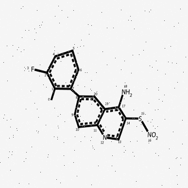 Cc1c(F)cccc1-c1ccc2ncc(S[N+](=O)[O-])c(N)c2c1